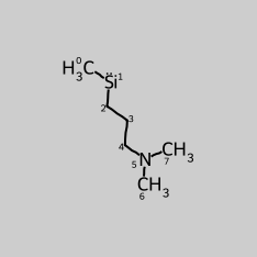 C[Si]CCCN(C)C